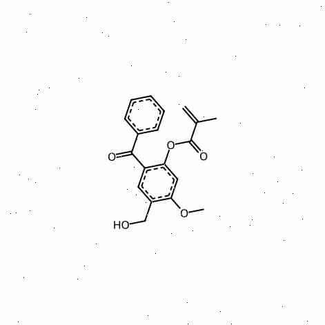 C=C(C)C(=O)Oc1cc(OC)c(CO)cc1C(=O)c1ccccc1